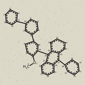 COc1ccc(-c2cccc(-c3ccccc3)c2)cc1-c1c2ccccc2c(-c2ccccc2)c2ccccc12